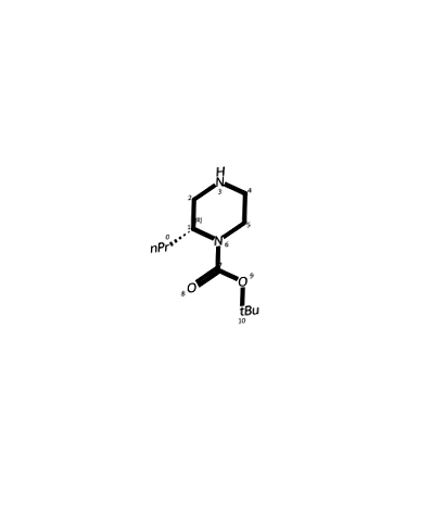 CCC[C@@H]1CNCCN1C(=O)OC(C)(C)C